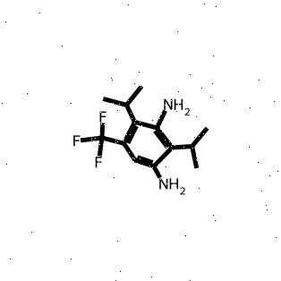 CC(C)c1c(N)cc(C(F)(F)F)c(C(C)C)c1N